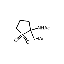 CC(=O)NC1(NC(C)=O)CCCS1(=O)=O